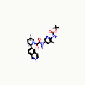 Cc1cc(NC(=O)C(=O)N2C[C@@H](C)CC[C@@H]2c2ccc3cnccc3c2)cnc1NC(=O)OC(C)(C)C